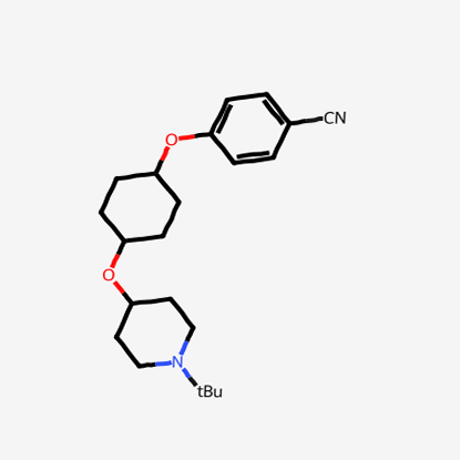 CC(C)(C)N1CCC(OC2CCC(Oc3ccc(C#N)cc3)CC2)CC1